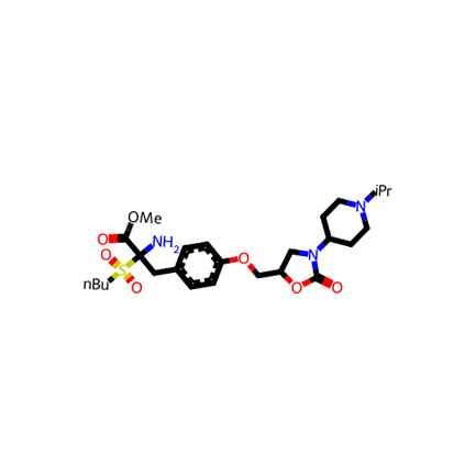 CCCCS(=O)(=O)C(N)(Cc1ccc(OCC2CN(C3CCN(C(C)C)CC3)C(=O)O2)cc1)C(=O)OC